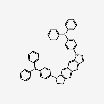 c1ccc(N(c2ccccc2)c2ccc(-n3ccc4cc5cc6ccn(-c7ccc(N(c8ccccc8)c8ccccc8)cc7)c6cc5cc43)cc2)cc1